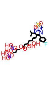 CC(C)c1nc(N(C)S(C)(=O)=O)nc(-c2ccc(F)cc2)c1/C=C/C(O)CC(O)CC(=O)OCC(CCON(O)O)ON(O)O